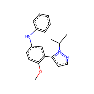 COc1ccc(Nc2ccccc2)cc1-c1ccnn1C(C)C